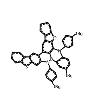 CC(C)(C)c1ccc(N2B3c4cc(C(C)(C)C)ccc4N(c4ccc(C(C)(C)C)cc4)c4c3c(cc3c4oc4ccccc43)-c3cc4c(cc32)sc2ccccc24)cc1